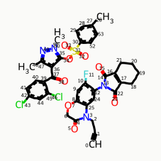 C#CCN1C(=O)COc2cc(F)c(N3C(=O)C4=C(CCCC4)C3=O)cc21.Cc1ccc(S(=O)(=O)Oc2c(C(=O)c3ccc(Cl)cc3Cl)c(C)nn2C)cc1